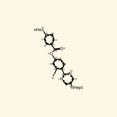 CCCCCCCc1cnc(-c2ccc(OC(=O)c3ccc(CCCCCC)cc3)cc2F)nc1